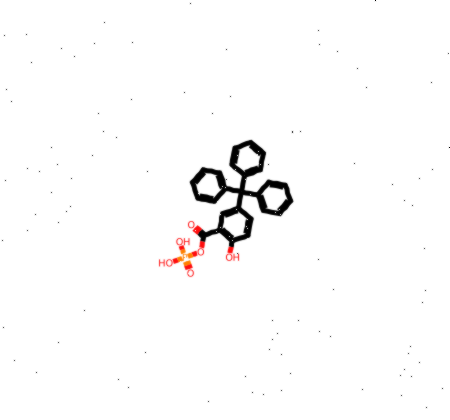 O=C(OP(=O)(O)O)c1cc(C(c2ccccc2)(c2ccccc2)c2ccccc2)ccc1O